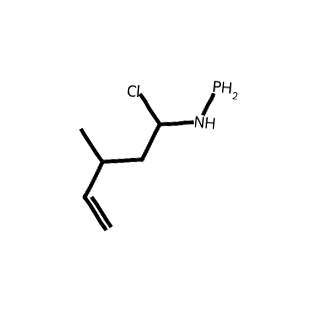 C=CC(C)CC(Cl)NP